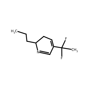 CCCC1CC=C(C(C)(F)F)C=N1